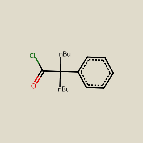 CCCCC(CCCC)(C(=O)Cl)c1ccccc1